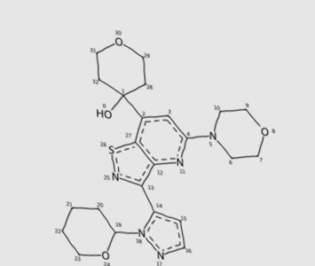 OC1(c2cc(N3CCOCC3)nc3c(-c4ccnn4C4CCCCO4)nsc23)CCOCC1